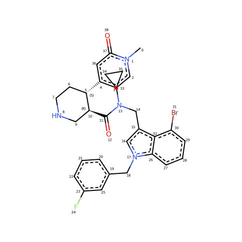 Cn1ccc([C@H]2CCNC[C@@H]2C(=O)N(Cc2cn(Cc3cccc(F)c3)c3cccc(Br)c23)C2CC2)cc1=O